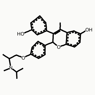 CC1=C(c2cccc(O)c2)C(c2ccc(OCC(C)N(C)C(C)C)cc2)Oc2ccc(O)cc21